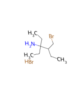 Br.CCC(CBr)C(N)(CC)CC